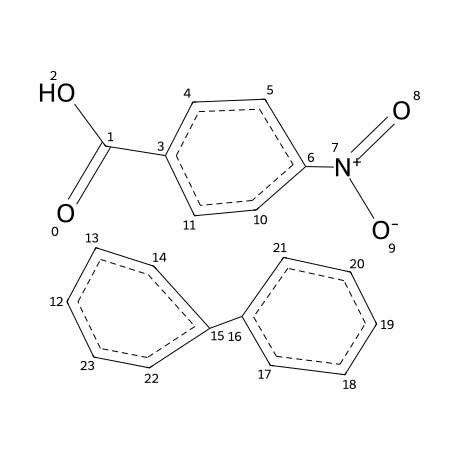 O=C(O)c1ccc([N+](=O)[O-])cc1.c1ccc(-c2ccccc2)cc1